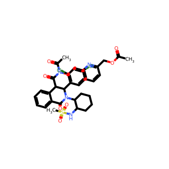 CC(=O)OCc1cccc(CON(C(C)=O)C(=O)C2c3ccccc3C(=O)N(C3CCCCC3NS(C)(=O)=O)C2c2ccc(Cl)cc2Cl)n1